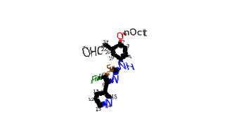 CCCCCCCCOc1ccc(Nc2nc(-c3cccnc3)c(F)s2)cc1CC=O